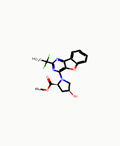 CC(C)(C)OC(=O)[C@@H]1C[C@H](O)CN1c1nc(C(F)(F)C(=O)O)nc2c1oc1ccccc12